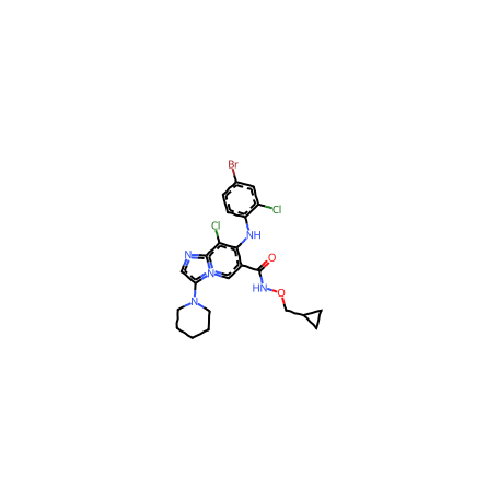 O=C(NOCC1CC1)c1cn2c(N3CCCCC3)cnc2c(Cl)c1Nc1ccc(Br)cc1Cl